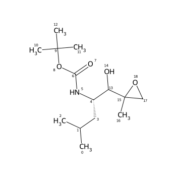 CC(C)C[C@H](NC(=O)OC(C)(C)C)C(O)C1(C)CO1